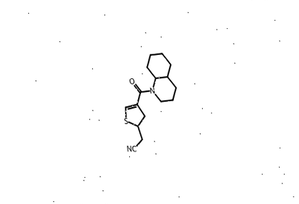 N#CCC1CC(C(=O)N2CCCC3CCCCC32)=CS1